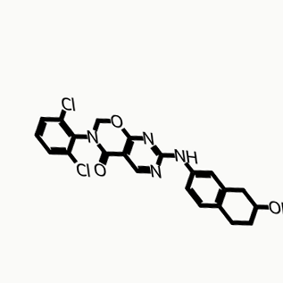 O=C1c2cnc(Nc3ccc4c(c3)CC(O)CC4)nc2OCN1c1c(Cl)cccc1Cl